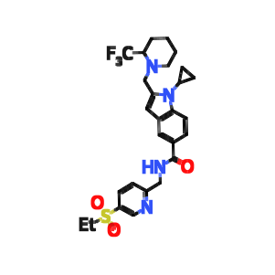 CCS(=O)(=O)c1ccc(CNC(=O)c2ccc3c(c2)cc(CN2CCCCC2C(F)(F)F)n3C2CC2)nc1